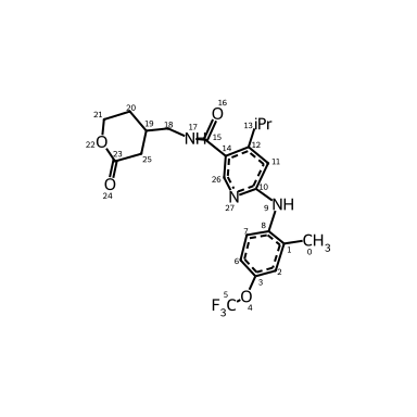 Cc1cc(OC(F)(F)F)ccc1Nc1cc(C(C)C)c(C(=O)NCC2CCOC(=O)C2)cn1